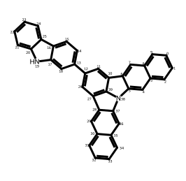 c1ccc2cc3c(cc2c1)c1cc(-c2ccc4c(c2)[nH]c2ccccc24)cc2c4cc5ccccc5cc4n3c12